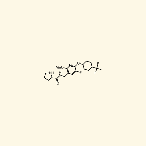 COc1nc(OC2CCC(C(C)(F)F)CC2)c(F)cc1CNC(=O)[C@@H]1CCCN1